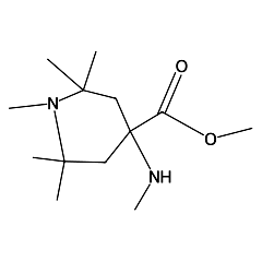 CNC1(C(=O)OC)CC(C)(C)N(C)C(C)(C)C1